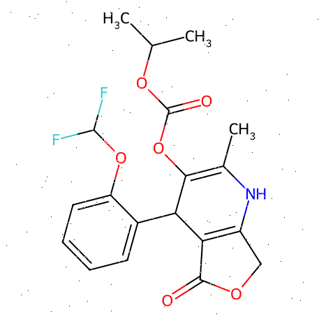 CC1=C(OC(=O)OC(C)C)C(c2ccccc2OC(F)F)C2=C(COC2=O)N1